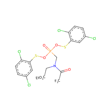 CCOC(=O)CN(CP(=O)(OSc1cc(Cl)ccc1Cl)OSc1cc(Cl)ccc1Cl)C(=O)C(F)(F)F